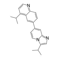 CC(C)c1ccnc2ccc(-c3ccn4c(C(C)C)cnc4c3)cc12